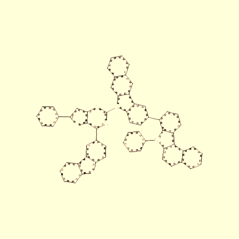 c1ccc(-c2cc3nc(-n4c5ccc(-c6cccc7c8c9ccccc9ccc8n(-c8ccccc8)c67)cc5c5cc6ccccc6cc54)nc(-c4ccc5sc6ccccc6c5c4)c3s2)cc1